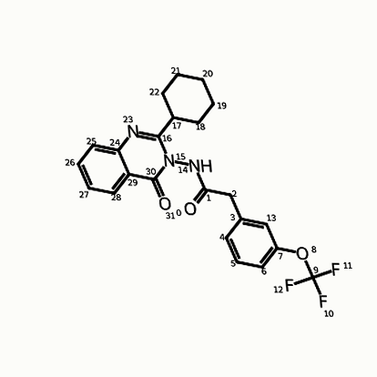 O=C(Cc1cccc(OC(F)(F)F)c1)Nn1c(C2CCCCC2)nc2ccccc2c1=O